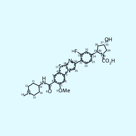 COc1cc2c(cc1C(=O)NC1CCN(C)CC1)sc1nc(-c3ccc([C@H]4C[C@H](O)CN4C(=O)O)cc3F)cn12